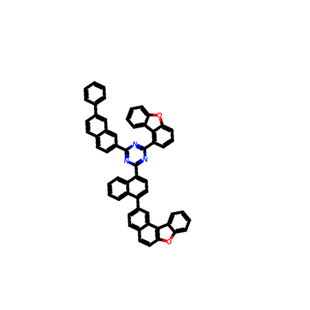 c1ccc(-c2ccc3ccc(-c4nc(-c5ccc(-c6ccc7ccc8oc9ccccc9c8c7c6)c6ccccc56)nc(-c5cccc6oc7ccccc7c56)n4)cc3c2)cc1